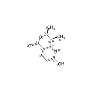 C[C@@H]1OC(=O)c2ccc(O)nc2[C@@H]1C